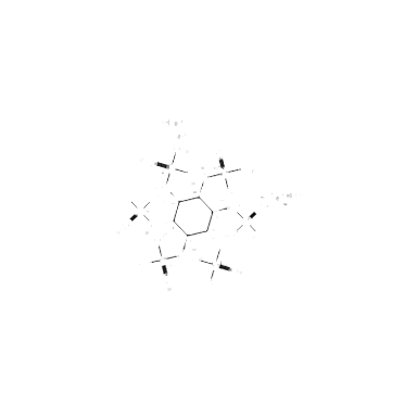 O=P([O-])([O-])O[C@H]1[C@H](OP(=O)([O-])[O-])[C@@H](OP(=O)([O-])[O-])[C@H](OP(=O)([O-])[O-])[C@@H](OP(=O)([O-])[O-])[C@H]1OP(=O)([O-])[O-].[Fe+3].[Fe+3].[Fe+3].[Fe+3]